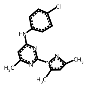 Cc1cc(Nc2ccc(Cl)cc2)nc(-n2nc(C)cc2C)n1